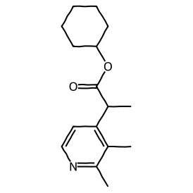 Cc1nccc(C(C)C(=O)OC2CCCCC2)c1C